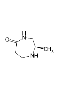 C[C@@H]1CNC(=O)CCN1